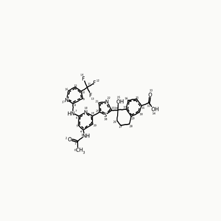 CC(=O)Nc1cc(Nc2cc(C(F)(F)F)ccn2)nc(-c2cnc(C3(O)CCCc4cc(C(=O)O)ccc43)s2)c1